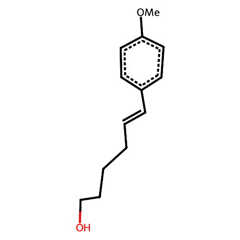 COc1ccc(/C=C/CCCCO)cc1